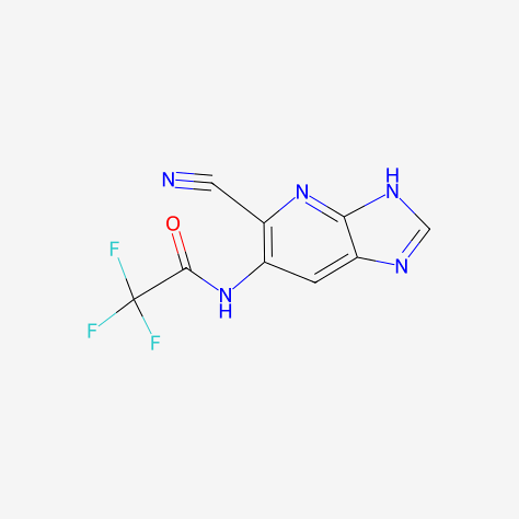 N#Cc1nc2[nH]cnc2cc1NC(=O)C(F)(F)F